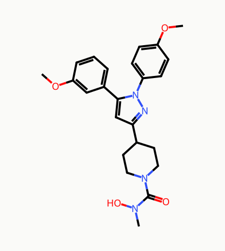 COc1ccc(-n2nc(C3CCN(C(=O)N(C)O)CC3)cc2-c2cccc(OC)c2)cc1